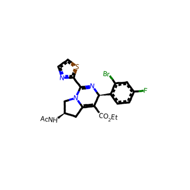 CCOC(=O)C1=C2C[C@@H](NC(C)=O)CN2C(c2nccs2)=N[C@H]1c1ccc(F)cc1Br